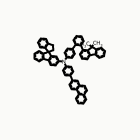 CC1(C)c2ccccc2-c2cccc(-c3ccccc3-c3ccc(N(c4ccc(-c5ccc6c(ccc7ccccc76)c5)cc4)c4ccc5c(c4)C4(CCc6ccccc64)c4ccccc4-5)cc3)c21